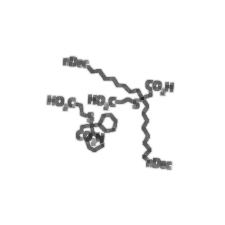 CCCCCCCCCCCCCCCCCCC(CCCCCCCCCCCCCCCCCC)(CC(=O)O)SCCC(=O)O.O=C(O)CCSC(CC(=O)O)(C1CCCCC1)C1CCCCC1